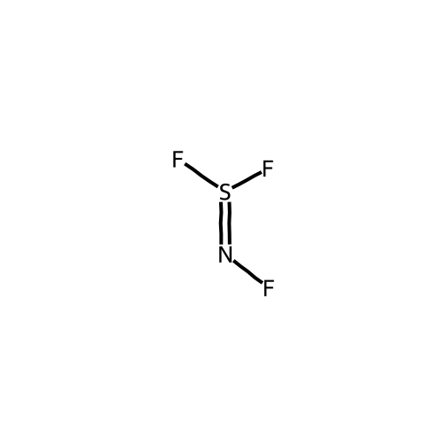 FN=S(F)F